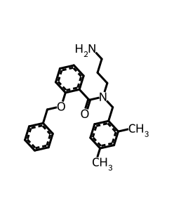 Cc1ccc(CN(CCCN)C(=O)c2ccccc2OCc2ccccc2)c(C)c1